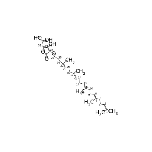 CC(C)=CCC/C(C)=C/CC/C(C)=C/CC/C=C(\C)CC/C=C(\C)CCCOC1=C(O)[C@@H](CC(O)O)OC1=O